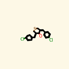 O=C1C(=Cc2ccc(Cl)cc2)CSCC1=Cc1ccc(Cl)cc1